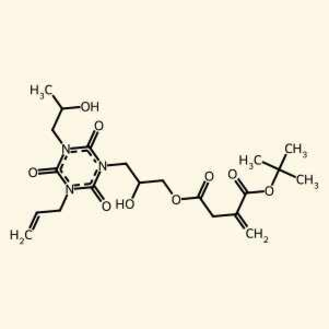 C=CCn1c(=O)n(CC(C)O)c(=O)n(CC(O)COC(=O)CC(=C)C(=O)OC(C)(C)C)c1=O